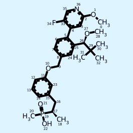 COc1cc(-c2ccc(COc3cccc(C[C@@H](C)P(C)(=O)O)c3)cc2[C@@H](OC)C(C)(C)C)c(F)cn1